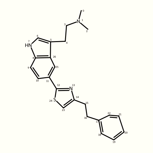 CN(C)CCc1c[nH]c2ccc(-c3nc(CCc4ccccc4)cs3)cc12